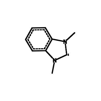 CN1[C]N(C)c2ccccc21